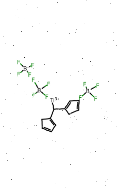 F[B-](F)(F)F.F[B-](F)(F)F.F[B-](F)(F)F.[Ti+3][CH](C1=CC=CC1)C1=CC=CC1